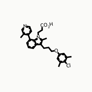 Cc1cnccc1-c1cccc2c(CCCOc3cc(C)c(Cl)c(C)c3)c(C)n(CCC(=O)O)c12